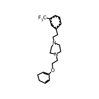 FC(F)(F)c1cccc(CCN2CCN(CCOC3=CCCC=C3)CC2)c1